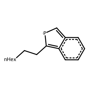 CCCCCCCCC1=c2ccccc2=C[P]1